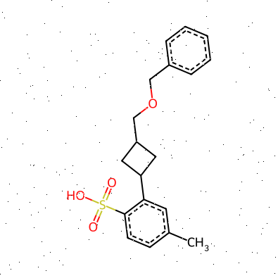 Cc1ccc(S(=O)(=O)O)c(C2CC(COCc3ccccc3)C2)c1